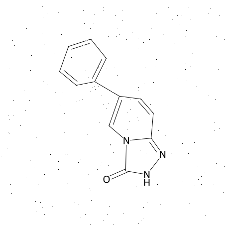 O=c1[nH]nc2ccc(-c3ccccc3)cn12